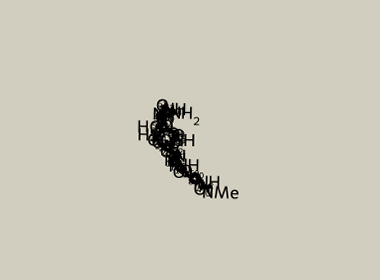 CN[C@@H](C)C(=O)Nc1ccc(COC(=O)Nc2ncnc3c2ncn3C2OC3COP(=O)(S)OC4C(COP(=O)(S)OC2C3O)OC(n2cnc3c(=O)[nH]c(N)nc32)C4O)cc1